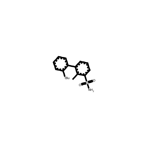 Cc1c(-c2ccccc2C(C)(C)C)cccc1S(N)(=O)=O